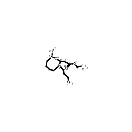 CCCCN1CCCCN(SI)CC1CC(=O)OCC